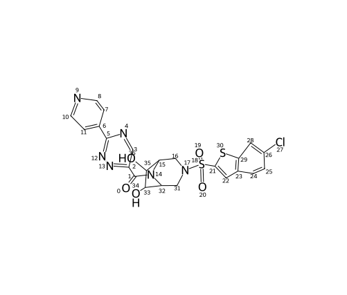 O=C(c1cnc(-c2ccncc2)nn1)N1C2CN(S(=O)(=O)c3cc4ccc(Cl)cc4s3)CC1C(O)C2O